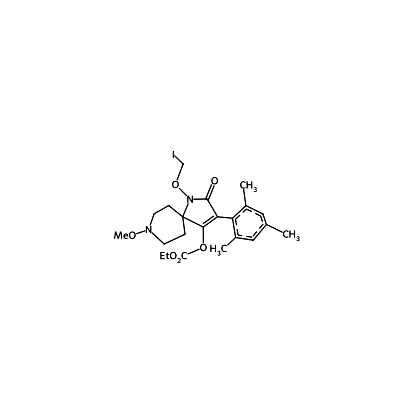 CCOC(=O)OC1=C(c2c(C)cc(C)cc2C)C(=O)N(OCI)C12CCN(OC)CC2